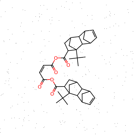 CC(C)(C)C12CC(CC1C(=O)OC(=O)/C=C\C(=O)OC(=O)C1CC3CC1(C(C)(C)C)C1C4C=CC(C4)C31)C1C3C=CC(C3)C12